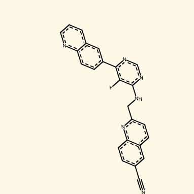 N#Cc1ccc2nc(CNc3ncnc(-c4ccc5ncccc5c4)c3F)ccc2c1